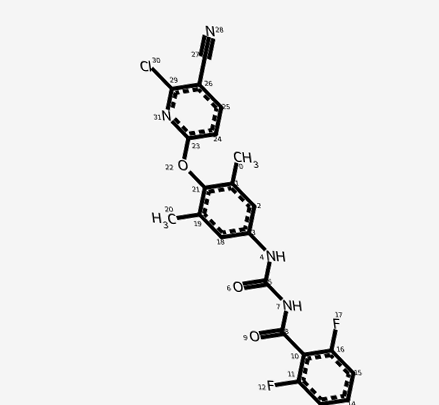 Cc1cc(NC(=O)NC(=O)c2c(F)cccc2F)cc(C)c1Oc1ccc(C#N)c(Cl)n1